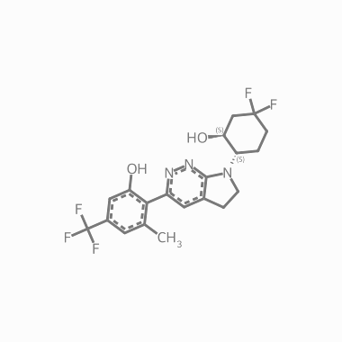 Cc1cc(C(F)(F)F)cc(O)c1-c1cc2c(nn1)N([C@H]1CCC(F)(F)C[C@@H]1O)CC2